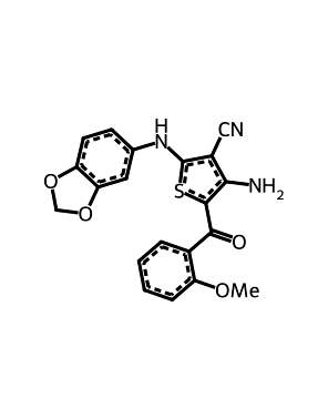 COc1ccccc1C(=O)c1sc(Nc2ccc3c(c2)OCO3)c(C#N)c1N